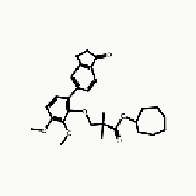 COc1ccc(-c2ccc3c(c2)CCC3=O)c(OCC(C)(C)C(=O)OC2CCCCCC2)c1OC